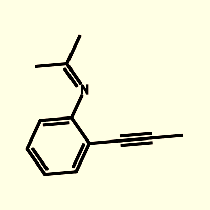 CC#Cc1ccccc1N=C(C)C